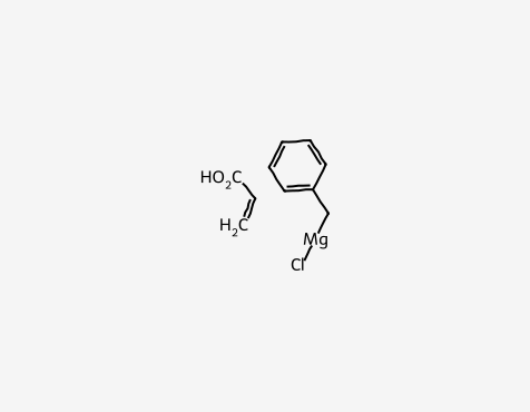 C=CC(=O)O.[Cl][Mg][CH2]c1ccccc1